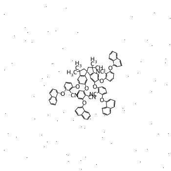 CC1(C)CC2(CC(C)(C)c3cc(Oc4cccc(Oc5cccc6ccccc56)c4C#N)c(Oc4cccc(Oc5cccc6ccccc56)c4C#N)cc32)c2cc(Oc3cccc(Oc4cccc5ccccc45)c3C#N)c(Oc3cccc(Oc4cccc5ccccc45)c3C#N)cc21